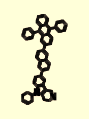 C1=CCCC(n2c3c(c4cc(-c5ccc6cc(-c7ccc8c(-c9ccccc9)c9ccccc9c(-c9ccccc9)c8c7)ccc6c5)ccc42)C=NCC3)=C1